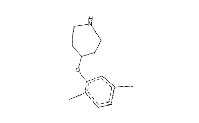 Cc1ccc(C)c(OC2CCNCC2)c1